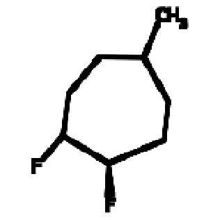 CC1CCC(F)[C@H](F)CC1